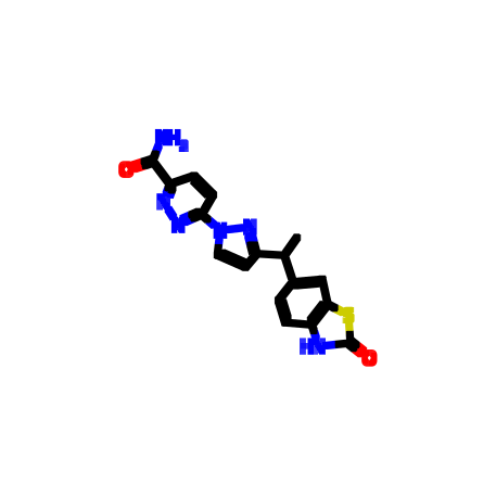 CC(c1ccc2[nH]c(=O)sc2c1)c1ccn(-c2ccc(C(N)=O)nn2)n1